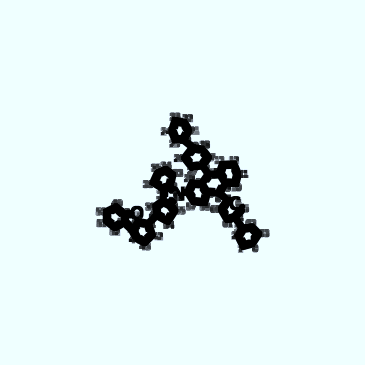 c1ccc(-c2ccc(-c3c4ccccc4c(-c4ccc(-c5ccccc5)cc4)c4cc(-n5c6ccccc6c6cc(-c7cccc8c7oc7ccccc78)ccc65)ccc34)cc2)cc1